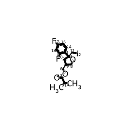 CC(C)C(=O)OC[C@@H]1CO[C@@](CI)(c2ccc(F)cc2F)C1